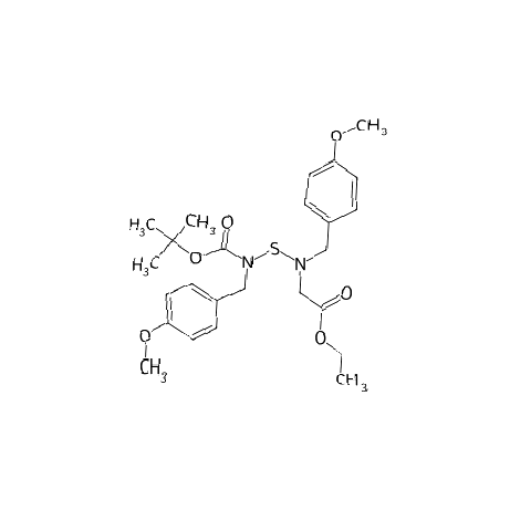 CCOC(=O)CN(Cc1ccc(OC)cc1)SN(Cc1ccc(OC)cc1)C(=O)OC(C)(C)C